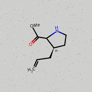 C=CC[C@@H]1CCNC1C(=O)OC